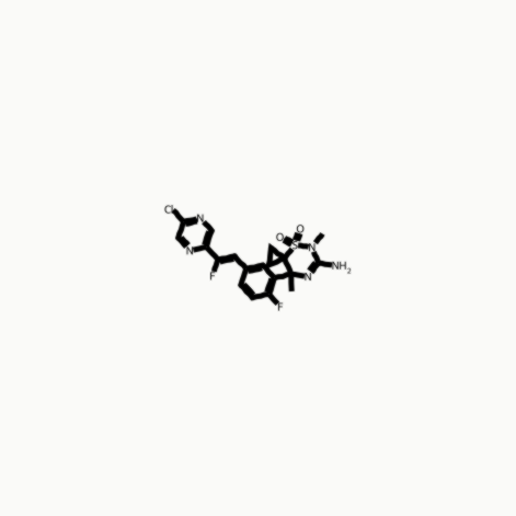 CN1C(N)=NC(C)(c2cc(C=C(F)c3cnc(Cl)cn3)ccc2F)C2(CC2)S1(=O)=O